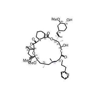 CO[C@H]1C[C@@H](C)C/C(C)=C/[C@@H](CCCc2ccccn2)C(=O)C[C@H](O)[C@@H](C)[C@@H](/C(C)=C/[C@@H]2CC[C@@H](O)[C@H](OC)C2)OC(=O)[C@@H]2CCCCN2C(=O)C(=O)[C@]2(O)O[C@H]1[C@@H](OC)C[C@H]2C